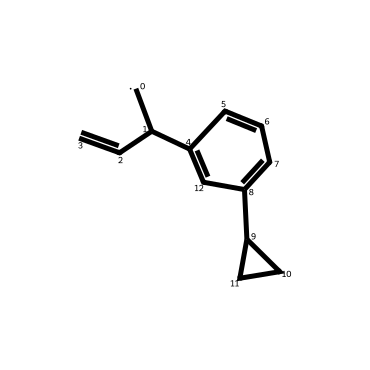 [CH2]C(C=C)c1cccc(C2CC2)c1